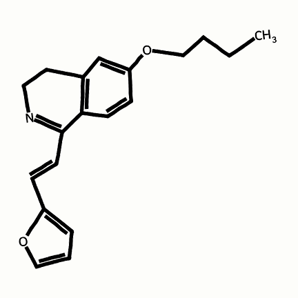 CCCCOc1ccc2c(c1)CCN=C2C=Cc1ccco1